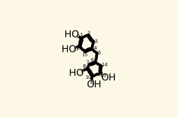 Oc1ccc(Cc2cc(O)c(O)c(O)c2)cc1O